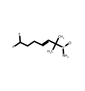 CC(C)(C=CCCC(F)F)[S+](N)[O-]